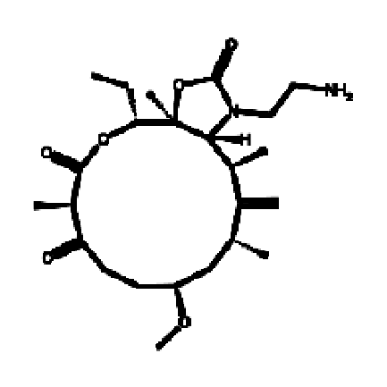 C=C1[C@H](C)C[C@@H](OC)CCC(=O)[C@@H](C)C(=O)O[C@H](CC)[C@@]2(C)OC(=O)N(CCN)[C@@H]2[C@H]1C